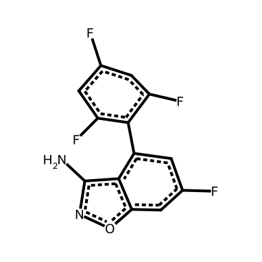 Nc1noc2cc(F)cc(-c3c(F)cc(F)cc3F)c12